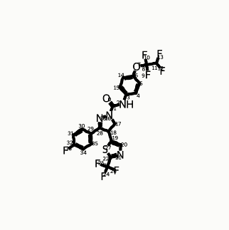 O=C(Nc1ccc(OC(F)(F)C(F)F)cc1)N1CC(c2cnc(C(F)(F)F)s2)C(c2ccc(F)cc2)=N1